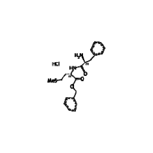 CSCC[C@H](NC(=O)[C@@H](N)Cc1ccccc1)C(=O)OCc1ccccc1.Cl